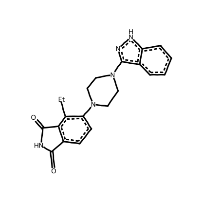 CCc1c(N2CCN(c3n[nH]c4ccccc34)CC2)ccc2c1C(=O)NC2=O